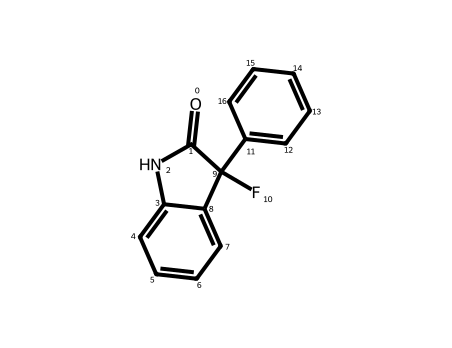 O=C1Nc2ccccc2C1(F)c1ccccc1